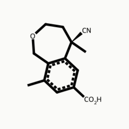 Cc1cc(C(=O)O)cc2c1COCC[C@@]2(C)C#N